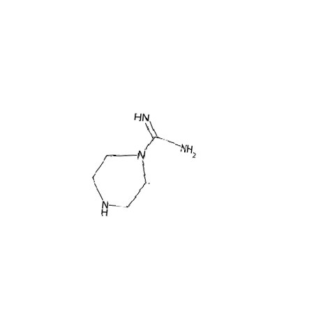 N=C(N)N1[CH]CNCC1